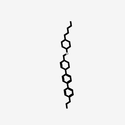 CCCCCC1CCC(OCC2C=CC(c3ccc(-c4ccc(CCC)cc4)cc3)CC2)CC1